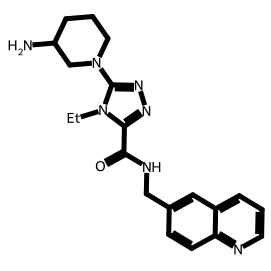 CCn1c(C(=O)NCc2ccc3ncccc3c2)nnc1N1CCCC(N)C1